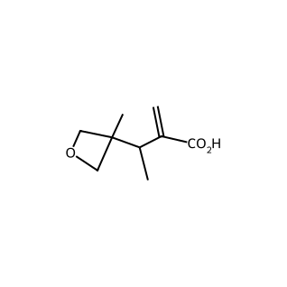 C=C(C(=O)O)C(C)C1(C)COC1